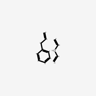 C=CCc1ccccc1.C=COC=C